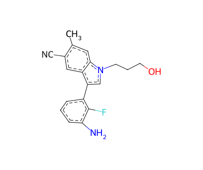 Cc1cc2c(cc1C#N)c(-c1cccc(N)c1F)cn2CCCO